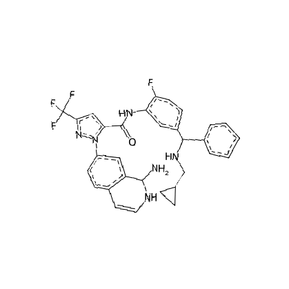 NC1NC=Cc2ccc(-n3nc(C(F)(F)F)cc3C(=O)Nc3cc(C(NCC4CC4)c4ccccc4)ccc3F)cc21